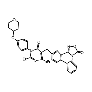 CCCc1nc(CC)n(-c2ccc(OC3CCOCC3)cc2)c(=O)c1Cc1ccc(-c2ccccc2)c(-c2noc(=O)[nH]2)c1